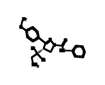 CCC(CC)(CN)[C@H]1CN(C(=O)Nc2ccccc2)N=C1c1ccc(OC(C)C)cc1